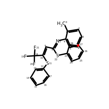 Cc1ccccc1/N=C(/C=C(\Sc1ccccc1)C(F)(F)F)Sc1ccccc1